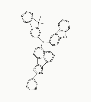 CC1(C)c2ccccc2-c2ccc(N(c3ccc4oc5ccccc5c4c3)c3ccc4c5c(cccc35)-c3nc(-c5ccccc5)sc3-4)cc21